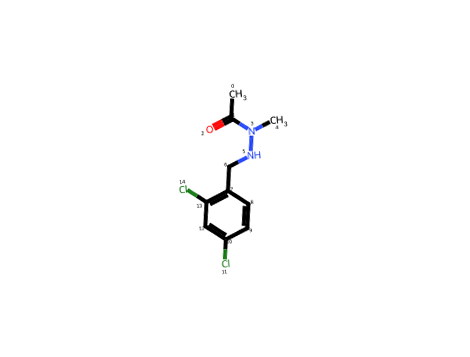 CC(=O)N(C)NCc1ccc(Cl)cc1Cl